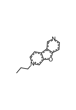 CCC[n+]1ccc2c(c1)oc1ccncc12